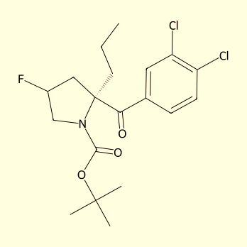 CCC[C@@]1(C(=O)c2ccc(Cl)c(Cl)c2)CC(F)CN1C(=O)OC(C)(C)C